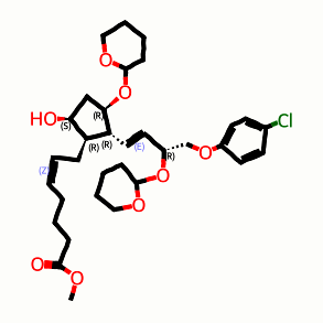 COC(=O)CCC/C=C\C[C@@H]1[C@@H](/C=C/[C@H](COc2ccc(Cl)cc2)OC2CCCCO2)[C@H](OC2CCCCO2)C[C@@H]1O